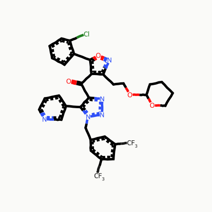 O=C(c1nnn(Cc2cc(C(F)(F)F)cc(C(F)(F)F)c2)c1-c1cccnc1)c1c(CCOC2CCCCO2)noc1-c1ccccc1Cl